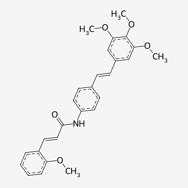 COc1ccccc1/C=C/C(=O)Nc1ccc(C=Cc2cc(OC)c(OC)c(OC)c2)cc1